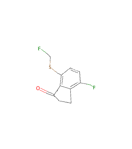 O=C1CCc2c(F)ccc(SCF)c21